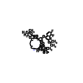 CC(C)Oc1cc(O[C@@H]2C[C@H]3C(=O)N[C@]4(C(=O)NS(=O)(=O)C5(C)CC5)C[C@H]4/C=C\CCCCC[C@H](NC(=O)OC(C)(C)C)C(=O)N3C2)c2ccc(F)c(F)c2n1